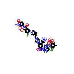 COc1cc(N2CCN(CCC3(C)CCN(c4cc5c(cc4F)C(=O)N(C4CCC(=O)NC4=O)C5=O)CC3)CC2)c(-c2cnn(C)c2)cc1Nc1ncc(Br)c(Nc2ccc(C)c(C)c2P(=O)(OC)OC)n1